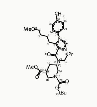 COCCCCc1c(C(=O)N(CC(C)C)[C@H]2C[C@@H](C(=O)OC)CN(C(=O)OC(C)(C)C)C2)nnn1-c1ccc(C)cc1